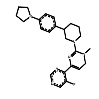 CN1CC=C(c2ncncc2F)N=C1N1CCCC(c2ccc(N3CCCC3)cc2)C1